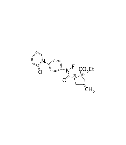 C=C1C[C@H](C(=O)OCC)[C@@H](C(=O)N(F)c2ccc(-n3ccccc3=O)cc2)C1